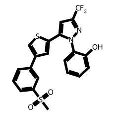 CS(=O)(=O)c1cccc(-c2csc(-c3cc(C(F)(F)F)nn3-c3ccccc3O)c2)c1